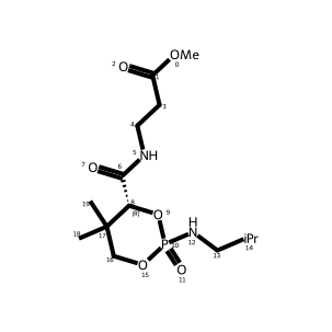 COC(=O)CCNC(=O)[C@@H]1OP(=O)(NCC(C)C)OCC1(C)C